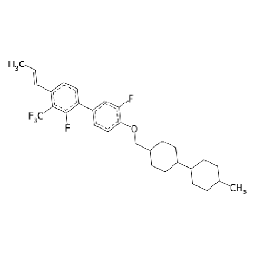 C/C=C/c1ccc(-c2ccc(OCC3CCC(C4CCC(C)CC4)CC3)c(F)c2)c(F)c1C(F)(F)F